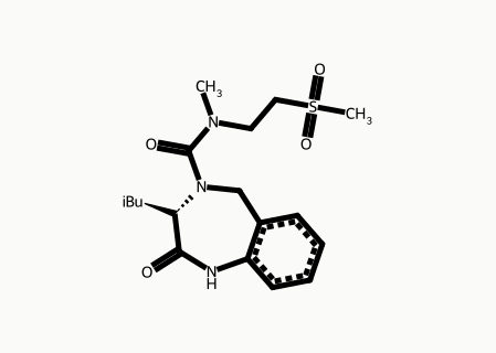 CC[C@H](C)[C@H]1C(=O)Nc2ccccc2CN1C(=O)N(C)CCS(C)(=O)=O